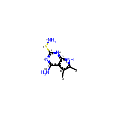 Cc1[nH]c2nc(SN)nc(N)c2c1C